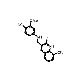 COc1cc(NCc2cc3cccc(C(F)(F)F)c3[nH]c2=O)ccc1C#N